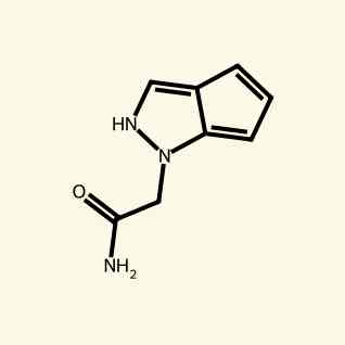 NC(=O)Cn1[nH]cc2cccc1-2